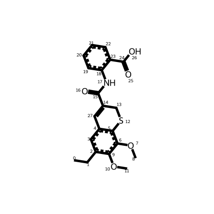 CCc1cc2c(c(OC)c1OC)SCC(C(=O)Nc1ccccc1C(=O)O)=C2